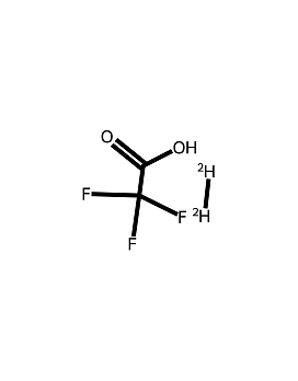 O=C(O)C(F)(F)F.[2H][2H]